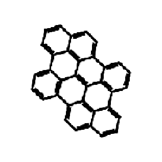 c1cc2ccc3c4cccc5c6cccc7ccc8c9cccc%10c(c1)c2c3c(c%109)c(c54)c8c76